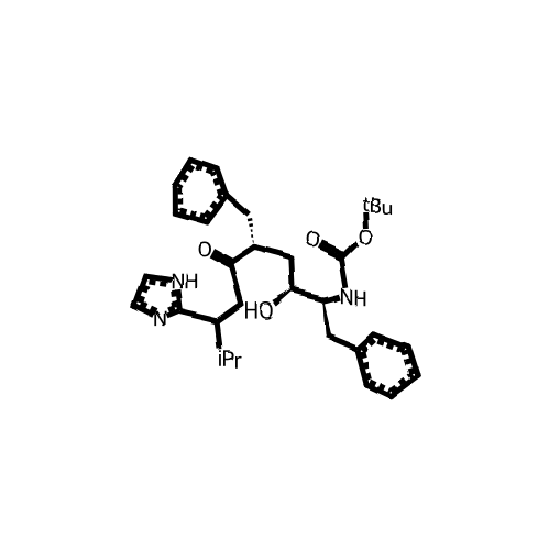 CC(C)C(CC(=O)[C@H](Cc1ccccc1)C[C@H](O)[C@H](Cc1ccccc1)NC(=O)OC(C)(C)C)c1ncc[nH]1